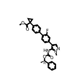 COC(=O)C1(c2ccc(-c3ccc(-c4cnn(C)c4NC(=O)O[C@H](C)c4ccccc4)cc3F)cc2)CC1